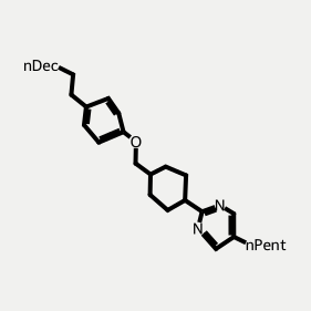 CCCCCCCCCCCCc1ccc(OCC2CCC(c3ncc(CCCCC)cn3)CC2)cc1